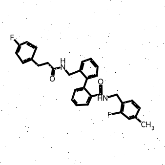 Cc1ccc(CNC(=O)c2ccccc2-c2ccccc2CNC(=O)CCc2ccc(F)cc2)c(F)c1